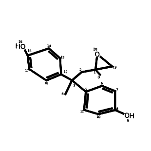 CC1(CC(C)(c2ccc(O)cc2)c2ccc(O)cc2)CO1